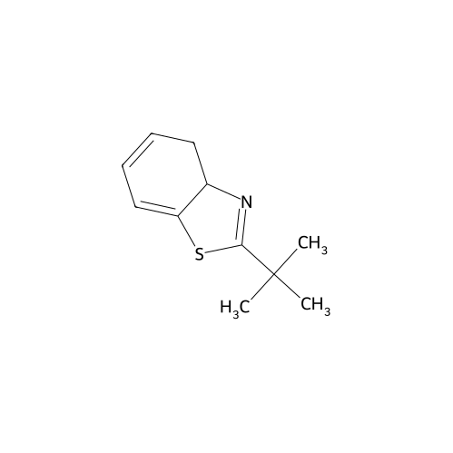 CC(C)(C)C1=NC2CC=CC=C2S1